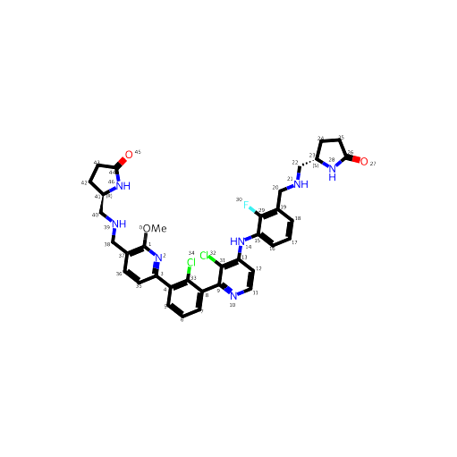 COc1nc(-c2cccc(-c3nccc(Nc4cccc(CNC[C@@H]5CCC(=O)N5)c4F)c3Cl)c2Cl)ccc1CNC[C@H]1CCC(=O)N1